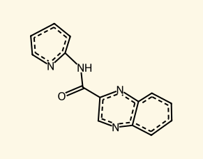 O=C(Nc1ccccn1)c1cnc2ccccc2n1